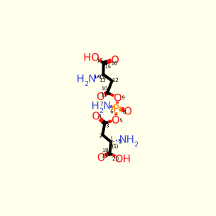 N[C@@H](CC(=O)OP(N)(=O)OC(=O)C[C@H](N)C(=O)O)C(=O)O